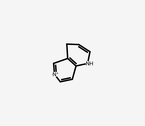 C1=CNC2=C(C=[N+]C=C2)C1